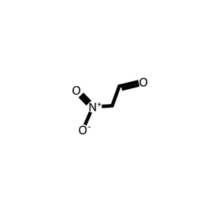 O=CC[N+](=O)[O-]